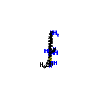 Cc1nc[nH]c1CSCC/N=C(\NC#N)NCCCCCCCCCCN